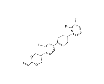 C=CC1OCC(c2ccc(C3=CC=C(c4cccc(F)c4F)CC3)cc2F)CO1